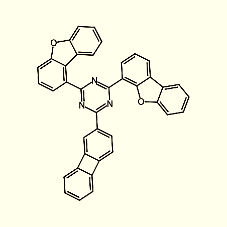 c1ccc2c(c1)-c1ccc(-c3nc(-c4cccc5c4oc4ccccc45)nc(-c4cccc5oc6ccccc6c45)n3)cc1-2